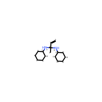 C=CC(C)(NC1CCCCC1)NC1CCCCC1